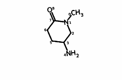 CN1CC(N)CCC1=O